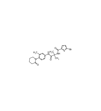 Cc1cc(NC(=O)C(C)(C)NC(=O)c2ccc(Br)s2)ccc1N1CCCCC1=O